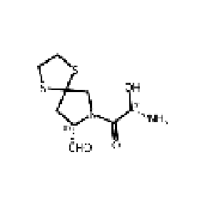 N[C@@H](O)C(=O)N1CC2(C[C@H]1C=O)SCCS2